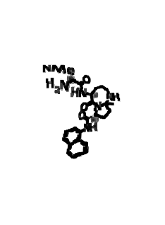 CN[C@@H](N)C(=O)N[C@H]1CCCNC2(C)CC[C@H](C(=O)Nc3cccc4ccccc34)N2C1=O